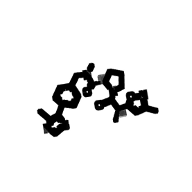 Cc1cc([C@@H](C)C(=O)N2CCC[C@H]2C(=O)N(C)Cc2ccc(-c3scnc3C)cc2)on1